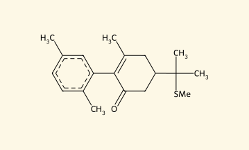 CSC(C)(C)C1CC(=O)C(c2cc(C)ccc2C)=C(C)C1